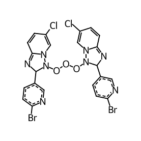 ClC1=CN2C(=NC(c3ccc(Br)nc3)N2OOON2C(c3ccc(Br)nc3)N=C3C=CC(Cl)=CN32)C=C1